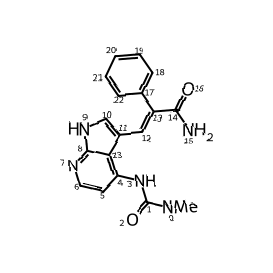 CNC(=O)Nc1ccnc2[nH]cc(/C=C(/C(N)=O)c3ccccc3)c12